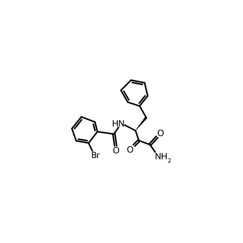 NC(=O)C(=O)[C@H](Cc1ccccc1)NC(=O)c1ccccc1Br